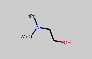 CCCN(CCO)OC